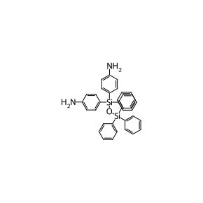 Nc1ccc([Si](O[Si](c2ccccc2)(c2ccccc2)c2ccccc2)(c2ccccc2)c2ccc(N)cc2)cc1